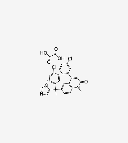 Cn1cncc1C(C)(c1ccc(Cl)cc1)c1ccc2c(c1)c(-c1cccc(Cl)c1)cc(=O)n2C.O=C(O)C(=O)O